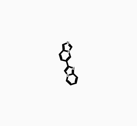 c1ccn2cc(-c3ccc4cncn4c3)nc2c1